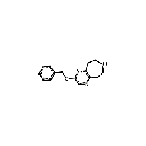 c1ccc(COc2cnc3c(n2)CCNCC3)cc1